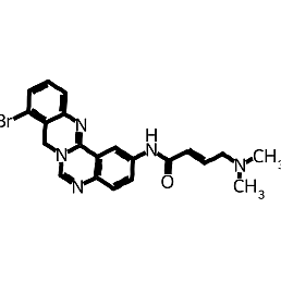 CN(C)C/C=C/C(=O)Nc1ccc2c(c1)C1=Nc3cccc(Br)c3CN1C=N2